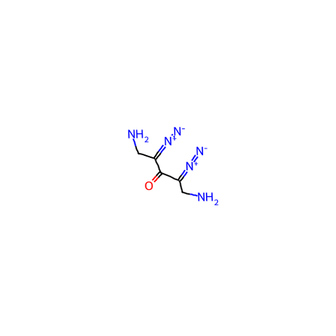 [N-]=[N+]=C(CN)C(=O)C(CN)=[N+]=[N-]